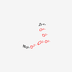 [Mo+6].[O-2].[O-2].[O-2].[O-2].[O-2].[Zr+4]